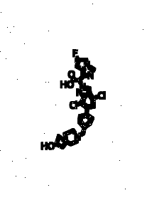 O=C(O)C(c1ncn2c1C[C@@H](F)C2)n1cc2c(Cl)cc(-c3ccc(CN4CCC5(CC4)CC(O)C5)cc3)c(Cl)c2n1